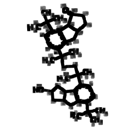 CC(C)(C)c1ccc(C(C)(C)CCC(C)(C)c2ccc(C(C)(C)C)c3c2CC2CCC(=O)C32)c2c1CC1CC(O)CC21